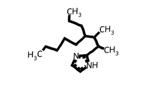 CCCCCC(CCC)C(C)C(C)c1ncc[nH]1